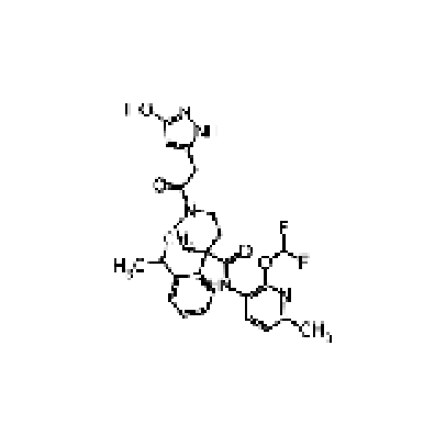 Cc1ccc(NC(=O)C2(c3ccccc3C(C)C)CCN(C(=O)Cc3cc(O)n[nH]3)CC2)c(OC(F)F)n1